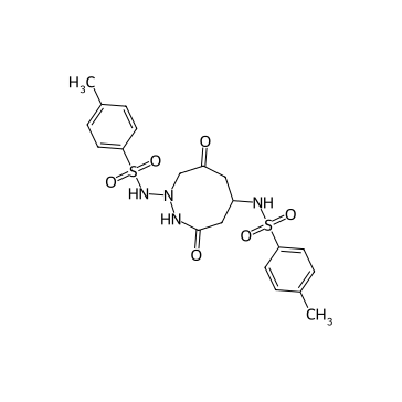 Cc1ccc(S(=O)(=O)NC2CC(=O)CN(NS(=O)(=O)c3ccc(C)cc3)NC(=O)C2)cc1